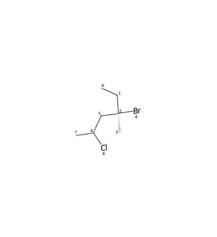 CC[C@@](C)(Br)CC(C)Cl